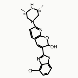 C[C@@H]1CN(c2ccc3c(n2)OC(O)C(c2nc4c(Cl)cccc4s2)=C3)C[C@H](C)N1